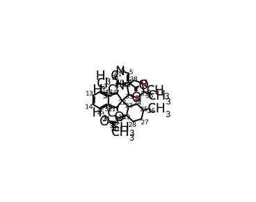 COC(=O)c1cncn1C1c2c(Cl)cccc2C(OC(C)=O)C1(C1CC(C)CCC1C(C)C)C1CC(C)CCC1C(C)C